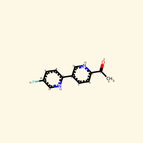 CC(=O)c1ccc(-c2ccc(F)cn2)cn1